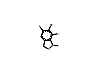 Nc1c(Cl)cc2c(c1Cl)B(O)OC2